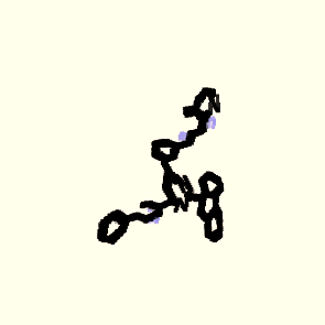 C=c1cccn/c1=C/C=C/c1cccc(-c2cc(C(/C=C\Cc3ccccc3)=C/C)nc(-c3cc4ccccc4c4ccccc34)n2)c1